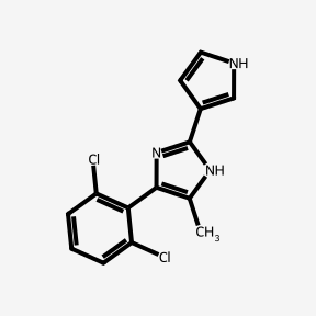 Cc1[nH]c(-c2cc[nH]c2)nc1-c1c(Cl)cccc1Cl